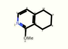 COc1nccc2c1CCCC2